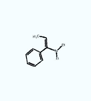 C/C=C(\c1ccccc1)N(CC)CC